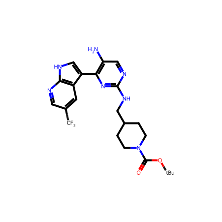 CC(C)(C)OC(=O)N1CCC(CNc2ncc(N)c(-c3c[nH]c4ncc(C(F)(F)F)cc34)n2)CC1